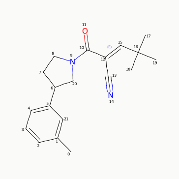 Cc1cccc(C2CCN(C(=O)/C(C#N)=C/C(C)(C)C)C2)c1